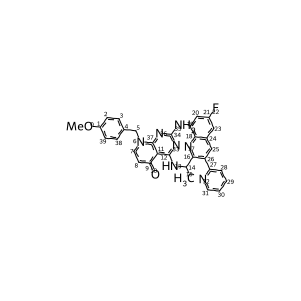 COc1ccc(Cn2ccc(=O)c3c(NC(C)c4nc5ccc(F)cc5cc4-c4ccccn4)nc(N)nc32)cc1